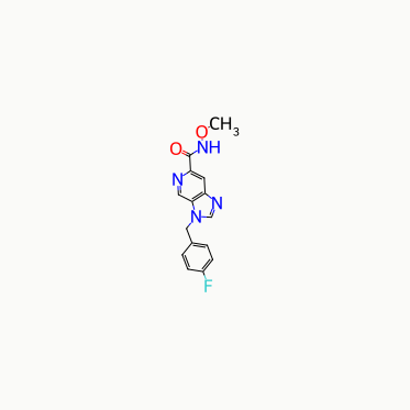 CONC(=O)c1cc2ncn(Cc3ccc(F)cc3)c2cn1